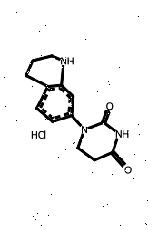 Cl.O=C1CCN(c2ccc3c(c2)NCCC3)C(=O)N1